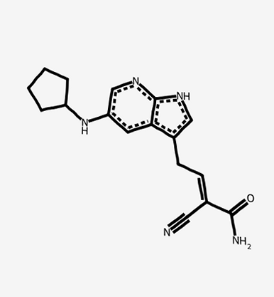 N#C/C(=C\Cc1c[nH]c2ncc(NC3CCCC3)cc12)C(N)=O